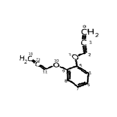 C=C=COc1ccccc1OC=C=C